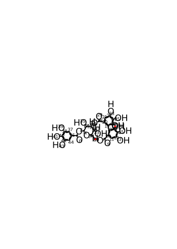 O=C(OC1O[C@@H]2COC(=O)c3cc(O)c(O)c(O)c3-c3c(cc(O)c(O)c3O)C(=O)O[C@@H]([C@@H]2O)[C@H]1O)c1cc(O)c(O)c(O)c1